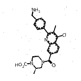 Cc1c(-c2ccc(CN)cc2)nc2cc(C(=O)N3CCN(C(=O)O)[C@H](C)C3)ccc2c1Cl